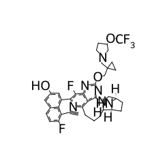 C#Cc1c(F)ccc2cc(O)cc(-c3nc4c5c(nc(OCC6(CN7CC[C@H](OC(F)(F)F)C7)CC6)nc5c3F)N3C[C@H]5CC[C@H](N5)[C@H]3CCC4)c12